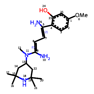 COc1ccc(/C(N)=C/C=C(\N)N(C)C2CC(C)(C)NC(C)(C)C2)c(O)c1